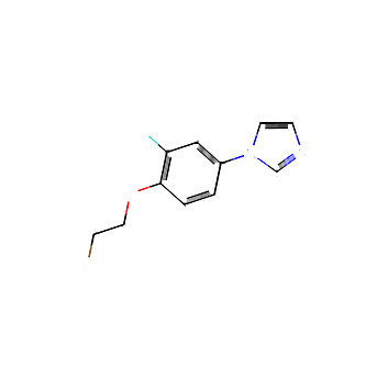 Fc1cc(-n2ccnc2)ccc1OCCBr